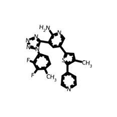 Cc1cc(-c2cnc(N)c(-c3nnnn3-c3ccc(C)c(F)c3F)c2)sc1-c1ccncc1